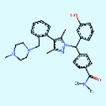 CCN(CC)C(=O)c1ccc(C(c2cccc(O)c2)n2nc(C)c(-c3ccccc3CN3CCN(C)CC3)c2C)cc1